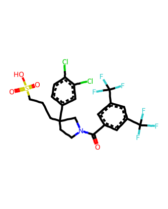 O=C(c1cc(C(F)(F)F)cc(C(F)(F)F)c1)N1CCC(CCCS(=O)(=O)O)(c2ccc(Cl)c(Cl)c2)C1